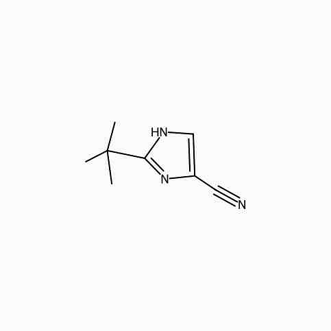 CC(C)(C)c1nc(C#N)c[nH]1